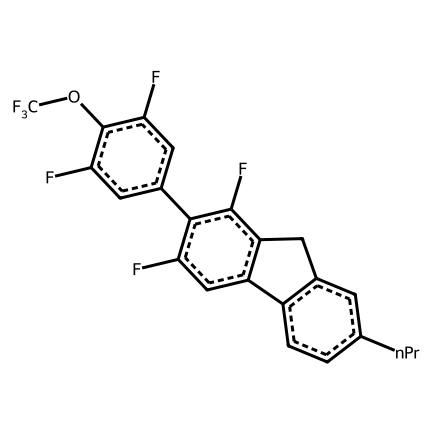 CCCc1ccc2c(c1)Cc1c-2cc(F)c(-c2cc(F)c(OC(F)(F)F)c(F)c2)c1F